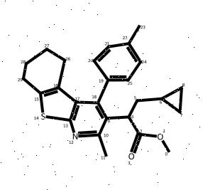 COC(=O)C(CC1CC1)c1c(C)nc2sc3c(c2c1-c1ccc(C)cc1)CCCC3